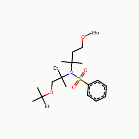 CCC(C)(C)OCC(C)(CC)N(C(C)(C)CCOC(C)(C)C)S(=O)(=O)c1ccccc1